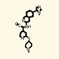 CN1CCC(Sc2cc(C(=C=O)Nc3cc4cc(-c5cncn5C)ccc4cn3)ccn2)CC1